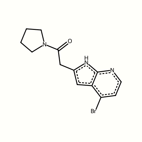 O=C(Cc1cc2c(Br)ccnc2[nH]1)N1CCCC1